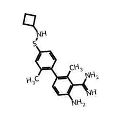 Cc1cc(SNC2CCC2)ccc1-c1ccc(N)c(C(=N)N)c1C